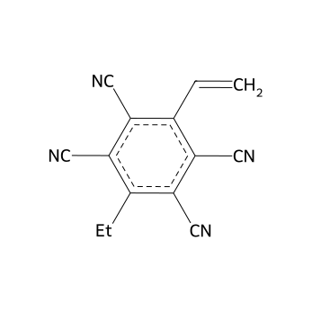 C=Cc1c(C#N)c(C#N)c(CC)c(C#N)c1C#N